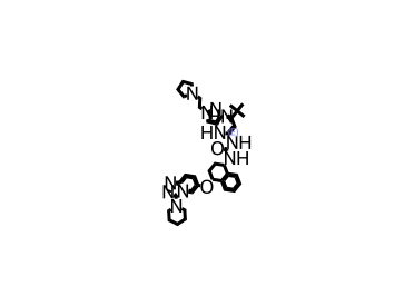 CC(C)(C)C(=N)/C=C(/NC(=O)NC1CCC(Oc2ccc3nnc(N4CCCCC4)n3c2)c2ccccc21)Nc1cnn(CCN2CCCC2)c1